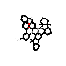 CCCCc1ccc(N2c3cc4c(cc3B3c5c(cc6c(c52)C(C)(C)c2ccccc2-6)-c2cccc5c2N3C2(C)CCCCC52C)oc2ccccc24)c(-c2ccccc2)c1